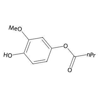 CCCC(=O)Oc1ccc(O)c(OC)c1